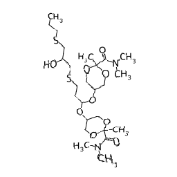 CCCSCC(O)CSCCC(OC1COC(C)(C(=O)N(C)C)OC1)OC1COC(C)(C(=O)N(C)C)OC1